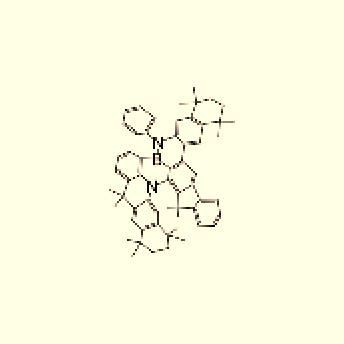 CC1(C)CCC(C)(C)c2cc3c(cc21)-c1cc2c(c4c1B(c1cccc5c1N4c1cc4c(cc1C5(C)C)C(C)(C)CCC4(C)C)N3c1ccccc1)C(C)(C)c1ccccc1-2